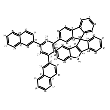 c1ccc2c(c1)-c1ccc(-c3nc(-c4ccc5ccccc5c4)nc(-c4ccc5ccccc5c4)n3)cc1C21c2ccccc2-c2sc3ccccc3c21